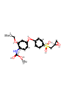 COCOc1cc(Oc2ccc(S(=O)(=O)CC3CO3)cc2)ccc1NC(=O)OC(C)(C)C